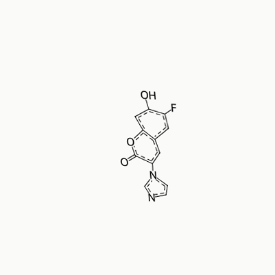 O=c1oc2cc(O)c(F)cc2cc1-n1ccnc1